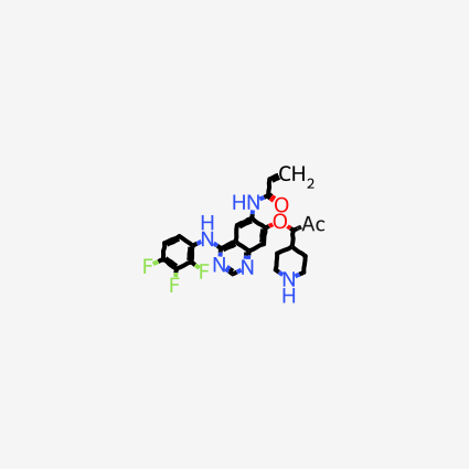 C=CC(=O)Nc1cc2c(Nc3ccc(F)c(F)c3F)ncnc2cc1OC(C(C)=O)C1CCNCC1